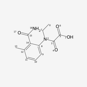 CCN(C(=O)C(=O)O)c1cccc(C)c1C(N)=O